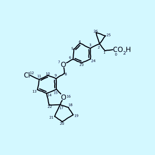 O=C(O)CC1(c2ccc(OCc3cc(Cl)cc4c3OC3(CCCC3)C4)cc2)CC1